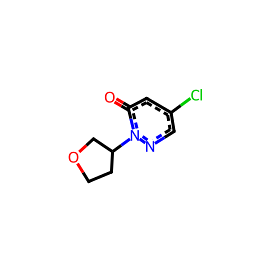 O=c1cc(Cl)cnn1C1CCOC1